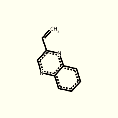 C=Cc1cnc2ccccc2n1